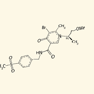 COC[C@@H](C)n1cc(C(=O)NCc2ccc(S(C)(=O)=O)cc2)c(=O)c(Br)c1C